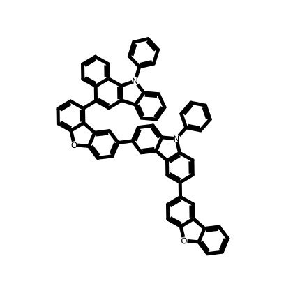 c1ccc(-n2c3ccc(-c4ccc5oc6ccccc6c5c4)cc3c3cc(-c4ccc5oc6cccc(-c7cc8c9ccccc9n(-c9ccccc9)c8c8ccccc78)c6c5c4)ccc32)cc1